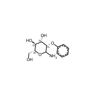 NC1O[C@H](CO)[C@@H](O)[C@H](O)[C@@H]1Oc1ccccc1